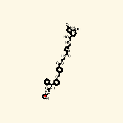 O=C(N[C@@H](c1ccccc1)c1cccc(OCc2ccc(C(=O)OCCNC(=O)c3ccc(CNC[C@H](O)c4ccc(O)c5[nH]c(=O)ccc45)s3)cc2)c1)O[C@H]1CN2CCC1CC2